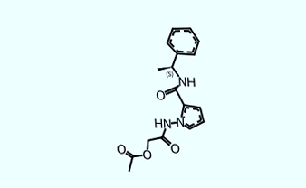 CC(=O)OCC(=O)Nn1cccc1C(=O)N[C@@H](C)c1ccccc1